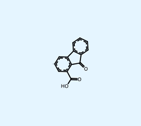 O=C(O)c1c[c]cc2c1C(=O)c1ccccc1-2